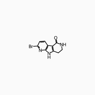 O=C1NCCc2[nH]c3nc(Br)ccc3c21